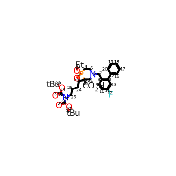 CCOP1(=O)CCN(Cc2ccc(F)cc2-c2ccccc2)CC1(CCCCN(C(=O)OC(C)(C)C)C(=O)OC(C)(C)C)C(=O)O